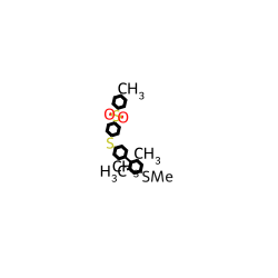 CSc1cc(C)c(-c2ccc(Sc3ccc(S(=O)(=O)c4ccc(C)cc4)cc3)cc2C)c(C)c1